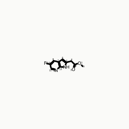 COC(=O)Cc1cc2cc(F)cnc2[nH]1